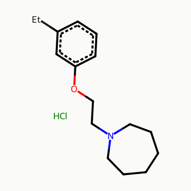 CCc1cccc(OCCN2CCCCCC2)c1.Cl